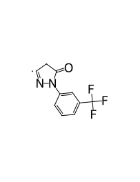 O=C1C[C]=NN1c1cccc(C(F)(F)F)c1